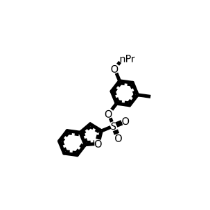 CCCOc1cc(C)cc(OS(=O)(=O)c2cc3ccccc3o2)c1